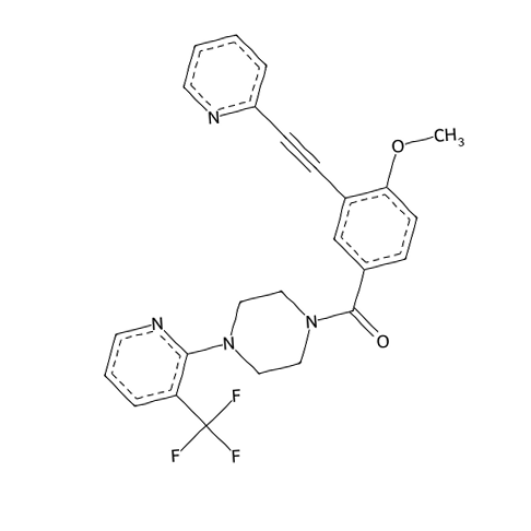 COc1ccc(C(=O)N2CCN(c3ncccc3C(F)(F)F)CC2)cc1C#Cc1ccccn1